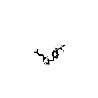 COC(=O)Nc1ccc(C[C@@H](C=O)OC(=O)CCC(C)C)cc1